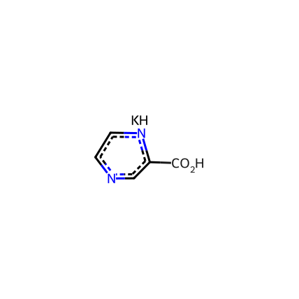 O=C(O)c1cnccn1.[KH]